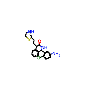 Nc1ccc(Cl)c(C2NC(=O)C(CCC3CNCCS3)c3ccccc32)c1